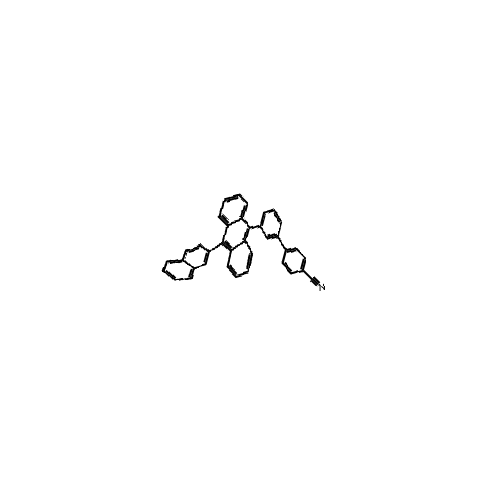 N#Cc1ccc(-c2cccc(-c3c4ccccc4c(-c4ccc5ccccc5c4)c4ccccc34)c2)cc1